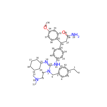 CCc1ccc(CN(CCN(C)C)/C(=N\C2CCCCC2)Nc2ccc(C(CC(N)=O)c3ccc(OC)cc3)cc2)cc1